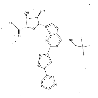 CNC(=O)[C@H]1O[C@@H](n2cnc3c(NCC(C)(F)F)nc(-n4cc(-c5cccnn5)nn4)nc32)[C@H](O)[C@@H]1O